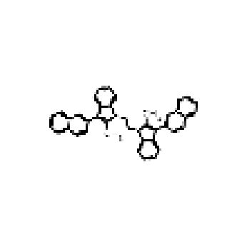 CC1=C(c2ccc3ccccc3c2)c2ccccc2C1CCC1C(C)=C(c2ccc3ccccc3c2)c2ccccc21